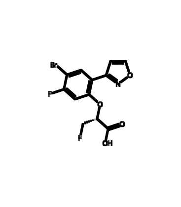 O=C(O)[C@H](CF)Oc1cc(F)c(Br)cc1-c1ccon1